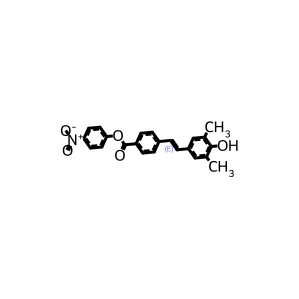 Cc1cc(/C=C/c2ccc(C(=O)Oc3ccc([N+](=O)[O-])cc3)cc2)cc(C)c1O